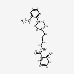 COc1ccccc1N1CCN(CCCCNC(=O)C2=CC=CCC2=S)CC1